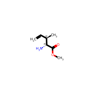 C=C[C@@H](C)[C@@H](N)C(=O)OC